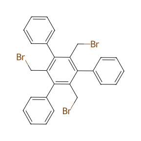 BrCc1c(-c2ccccc2)c(CBr)c(-c2ccccc2)c(CBr)c1-c1ccccc1